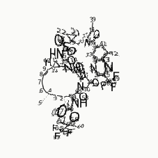 CC[C@@H]1C[C@H](C)CC/C=C\[C@@H]2C[C@@]2(C(=O)NS(=O)(=O)C2(C)CC2)NC(=O)[C@@H]2C[C@@H](Oc3nc4cc(-c5ncc(C)o5)ccc4nc3C(F)(F)F)CN2C(=O)[C@H]1NC(=O)OC(C)(C)C(F)(F)F